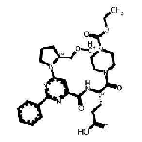 CCOC(=O)N1CCN(C(=O)[C@H](CCC(=O)O)NC(=O)c2cc(N3CCC[C@H]3COC)nc(-c3ccccc3)n2)CC1